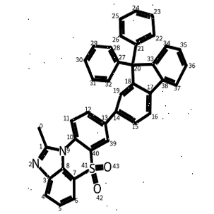 Cc1nc2cccc3c2n1-c1ccc(-c2ccc4c(c2)C(c2ccccc2)(c2ccccc2)c2ccccc2-4)cc1S3(=O)=O